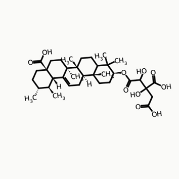 C[C@H]1[C@H](C)CC[C@]2(C(=O)O)CC[C@]3(C)C(=CC[C@@H]4[C@@]5(C)CC[C@H](OC(=O)C(O)C(O)(CC(=O)O)C(=O)O)C(C)(C)C5CC[C@]43C)[C@H]12